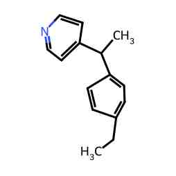 CCc1ccc(C(C)c2ccncc2)cc1